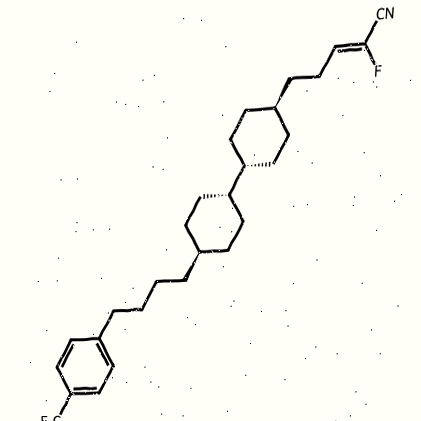 N#CC(F)=CCC[C@H]1CC[C@H]([C@H]2CC[C@H](CCCCc3ccc(C(F)(F)F)cc3)CC2)CC1